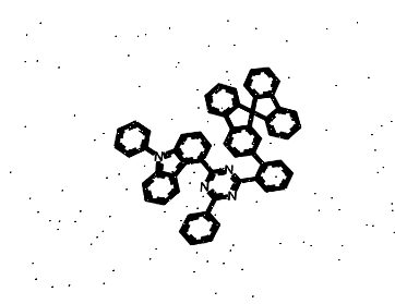 c1ccc(-c2nc(-c3ccccc3-c3ccc4c(c3)C3(c5ccccc5-c5ccccc53)c3ccccc3-4)nc(-c3cccc4c3c3ccccc3n4-c3ccccc3)n2)cc1